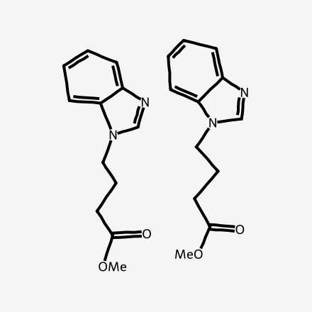 COC(=O)CCCn1cnc2ccccc21.COC(=O)CCCn1cnc2ccccc21